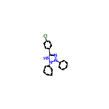 Clc1ccc(C2=NN(c3ccccc3)N(c3ccccc3)N2)cc1